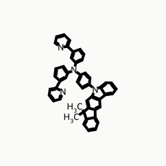 CC1(C)c2ccccc2-c2cc3c4ccccc4n(-c4ccc(N(c5cccc(-c6ccccn6)c5)c5cccc(-c6ccccn6)c5)cc4)c3cc21